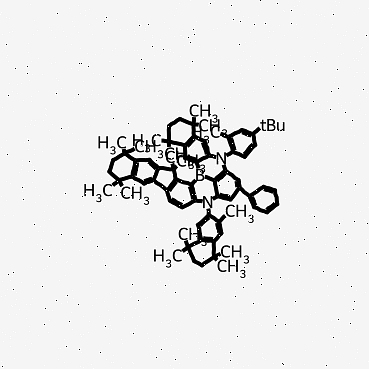 Cc1cc(C(C)(C)C)ccc1N1c2cc3c(cc2B2c4c1cc(-c1ccccc1)cc4N(c1cc4c(cc1C)C(C)(C)CCC4(C)C)c1ccc4c(c12)C(C)(C)c1cc2c(cc1-4)C(C)(C)CCC2(C)C)C(C)(C)CCC3(C)C